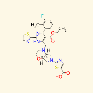 CCOC(=O)C1=C(CN2CCO[C@@H]3CN(c4ncc(C(=O)O)s4)C[C@@H]32)NC(c2nccs2)=NC1c1cccc(F)c1C